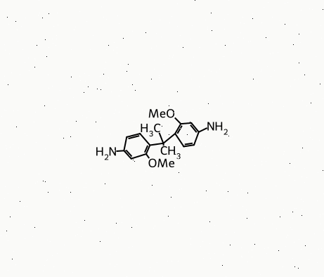 COc1cc(N)ccc1C(C)(C)c1ccc(N)cc1OC